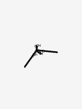 C=COOCOCC(COCCCNCOCCCCCCC/C=C/CCCCCCCC)(COCCCNCOCCCCCCC/C=C/CCCCCCCC)COCCC(=O)O